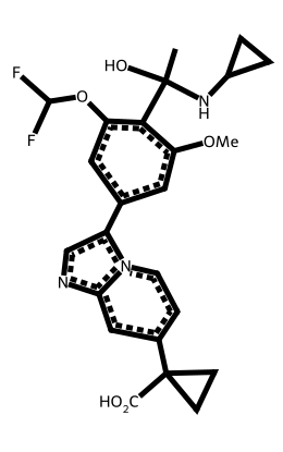 COc1cc(-c2cnc3cc(C4(C(=O)O)CC4)ccn23)cc(OC(F)F)c1C(C)(O)NC1CC1